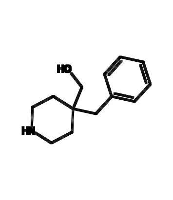 OCC1(Cc2ccccc2)CCNCC1